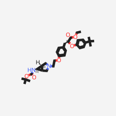 CCOC(=O)[C@H](Cc1ccc(OCCN2CC3[C@H](C2)[C@H]3NC(=O)OC(C)(C)C)cc1)Oc1ccc(C(C)(C)C)cc1